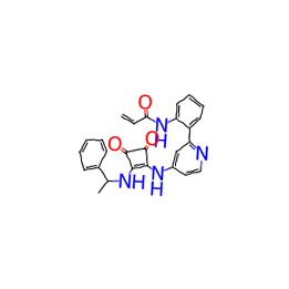 C=CC(=O)Nc1ccccc1-c1cc(Nc2c(NC(C)c3ccccc3)c(=O)c2=O)ccn1